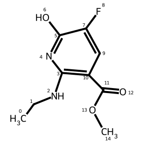 CCNc1nc(O)c(F)cc1C(=O)OC